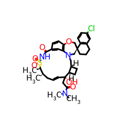 C[C@@H]1[C@@H](C)C/C=C/[C@@](O)(CC(=O)N(C)C)[C@@H]2CC[C@H]2CN2C[C@@]3(CCCc4cc(Cl)ccc43)COc3ccc(cc32)C(=O)NS1(=O)=O